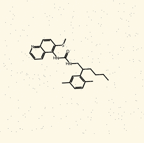 CCCCC(CNC(=O)Nc1c(SC)ccc2ncccc12)c1cc(C)ccc1C